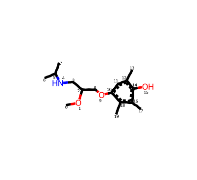 COC(CNC(C)C)COc1cc(C)c(O)c(C)c1C